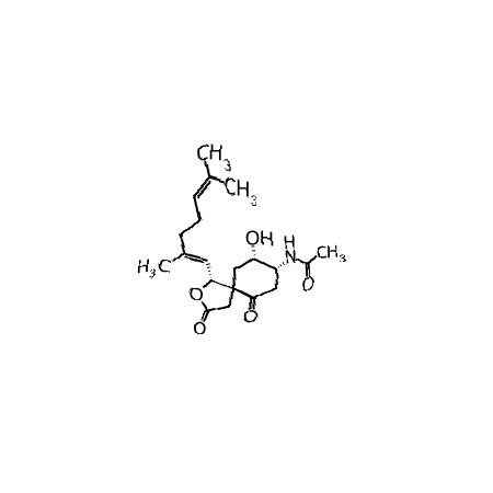 CC(=O)N[C@@H]1CC(=O)C2(CC(=O)O[C@@H]2/C=C(\C)CCC=C(C)C)C[C@@H]1O